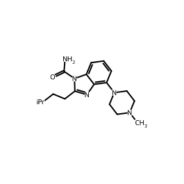 CC(C)CCc1nc2c(N3CCN(C)CC3)cccc2n1C(N)=O